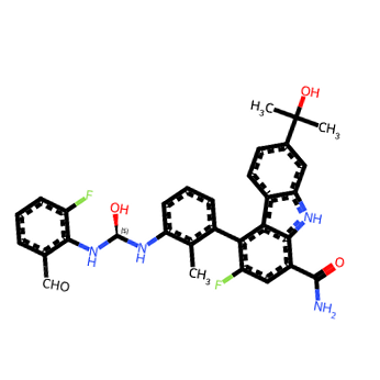 Cc1c(N[C@H](O)Nc2c(F)cccc2C=O)cccc1-c1c(F)cc(C(N)=O)c2[nH]c3cc(C(C)(C)O)ccc3c12